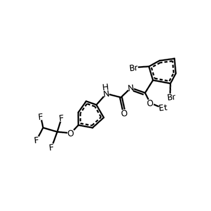 CCOC(=NC(=O)Nc1ccc(OC(F)(F)C(F)F)cc1)c1c(Br)cccc1Br